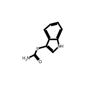 NC(=O)Sc1c[nH]c2ccccc12